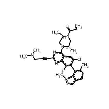 C=CC(=O)N1C[C@H](C)N(c2nc(C#CCN(C)C)nc3c(F)c(-c4c(C)ccc5cnn(C)c45)c(Cl)cc23)C[C@H]1C